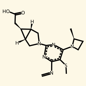 C=Nc1nc(N2C[C@@H]3[C@@H](CC(=O)O)[C@@H]3C2)nc(N2CC[C@@H]2C)c1SC